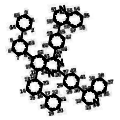 c1ccc(-c2cccc(-c3cc(-c4cccc(-c5ccccc5)c4)c4nc(-c5ccc(-c6ccnc7ccccc67)cc5)nc(-c5ccc(-c6ccnc7ccccc67)cc5)c4c3)c2)cc1